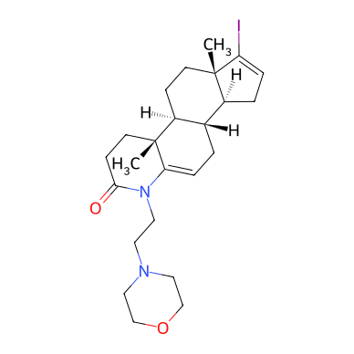 C[C@]12CCC(=O)N(CCN3CCOCC3)C1=CC[C@@H]1[C@@H]2CC[C@]2(C)C(I)=CC[C@@H]12